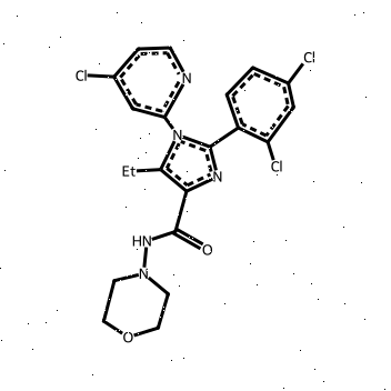 CCc1c(C(=O)NN2CCOCC2)nc(-c2ccc(Cl)cc2Cl)n1-c1cc(Cl)ccn1